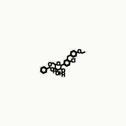 CCOc1ccc(Cc2cc(C3OC4COC(c5ccccc5)O[C@H]4C(O)C3O)ccc2Cl)cc1